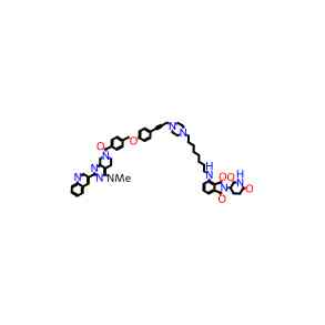 CNc1nc(-c2cnc3ccccc3c2)nc2c1CCN(C(=O)c1ccc(COc3ccc(C#CCN4CCN(CCCCCCCCNc5cccc6c5C(=O)N(C5CCC(=O)NC5=O)C6=O)CC4)cc3)cc1)C2